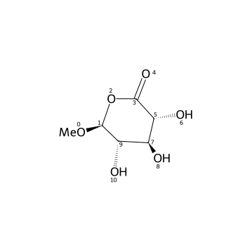 CO[C@H]1OC(=O)[C@H](O)[C@@H](O)[C@@H]1O